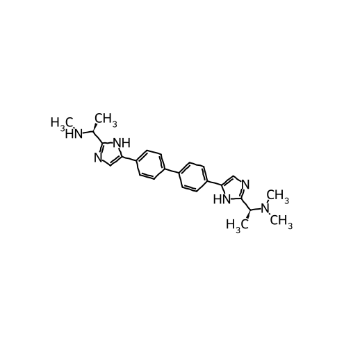 CN[C@@H](C)c1ncc(-c2ccc(-c3ccc(-c4cnc([C@H](C)N(C)C)[nH]4)cc3)cc2)[nH]1